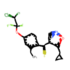 Cc1cc(OC(F)(F)C(Cl)Cl)ccc1C(=S)c1cnoc1C1CC1